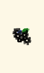 [Cl-].[Cl-].[Cr+2][C]1=C2C=CC=CC2c2cccc(-c3cccc4cccnc34)c21